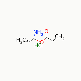 C=CC(=O)OC(N)C=C.Cl